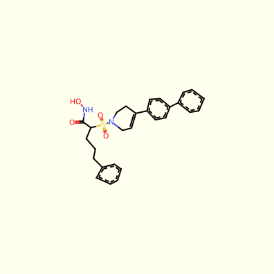 O=C(NO)C(CCCc1ccccc1)S(=O)(=O)N1CC=C(c2ccc(-c3ccccc3)cc2)CC1